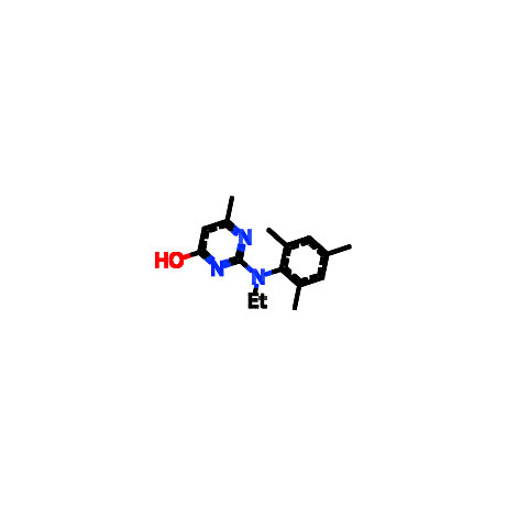 CCN(c1nc(C)cc(O)n1)c1c(C)cc(C)cc1C